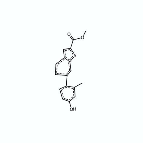 COC(=O)c1cc2ccc(-c3ccc(O)cc3C)cc2s1